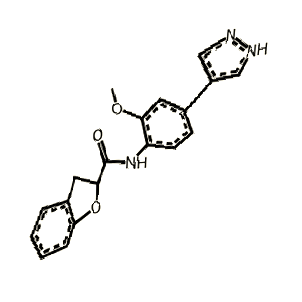 COc1cc(-c2cn[nH]c2)ccc1NC(=O)C1Cc2ccccc2O1